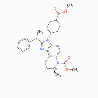 COC(=O)C1CCC(n2c(C(C)c3ccccc3)nc3c4c(ccc32)N(C(=O)OC)[C@@H](C)CC4)CC1